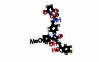 COc1ccc([C@@H]2[C@@H](CC[C@H](O)c3ccc(F)cc3)C(=O)N2c2ccc(CNC(=O)ON3C(=O)CCC3=O)cc2)c(O)c1